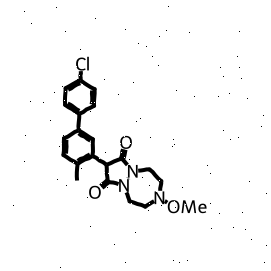 CON1CCN2C(=O)C(c3cc(-c4ccc(Cl)cc4)ccc3C)C(=O)N2CC1